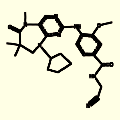 COc1cc(C(=O)NCC#N)ccc1Nc1ncc2c(n1)N(C1CCCC1)CC(C)(C)C(=O)N2C